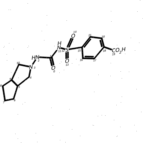 O=C(NN1CC2CCCC2C1)NS(=O)(=O)c1ccc(C(=O)O)cc1